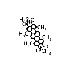 Cc1cc2c3c(cc(C)c4c5ccc6c7c(C)cc8c9c(cc(C)c(c%10ccc(c1c34)c5c%106)c97)C(=O)N(C)C8=O)C(=O)N(C)C2=O